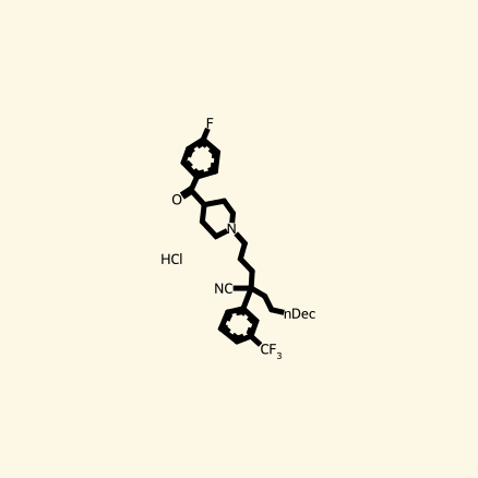 CCCCCCCCCCCCC(C#N)(CCCN1CCC(C(=O)c2ccc(F)cc2)CC1)c1cccc(C(F)(F)F)c1.Cl